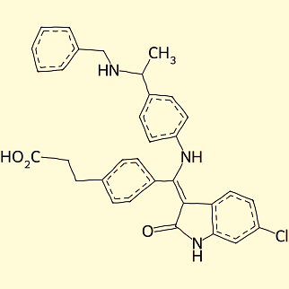 CC(NCc1ccccc1)c1ccc(NC(=C2C(=O)Nc3cc(Cl)ccc32)c2ccc(CCC(=O)O)cc2)cc1